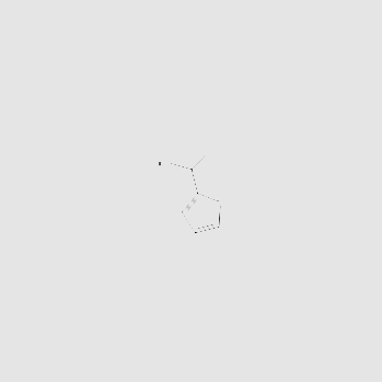 CCC(c1cccs1)C(C)C